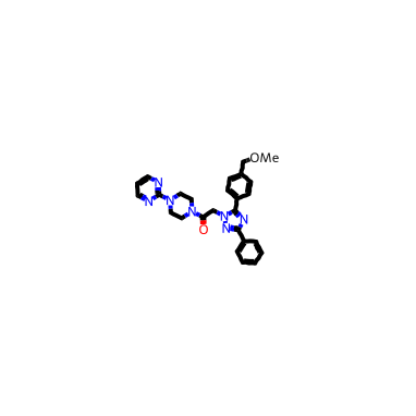 COCc1ccc(-c2nc(-c3ccccc3)nn2CC(=O)N2CCN(c3ncccn3)CC2)cc1